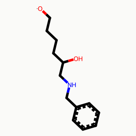 [O]CCCCC(O)CNCc1ccccc1